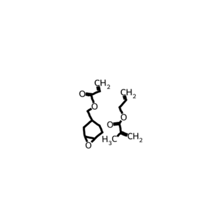 C=CC(=O)OCC1CCC2OC2C1.C=CCOC(=O)C(=C)C